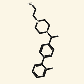 CC(c1ccc(-c2ccccc2F)cc1)N1CCN(CCO)CC1